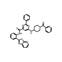 O=C(Nc1ccccc1-c1nc2cccnc2s1)c1cc(NC2CCN(C(=O)c3ccccc3)CC2)nc(-c2ccccc2)n1